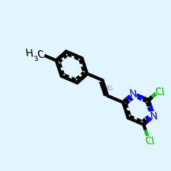 Cc1ccc(/C=C/c2cc(Cl)nc(Cl)n2)cc1